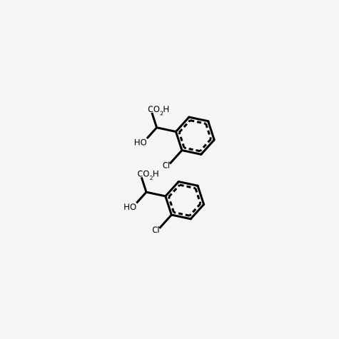 O=C(O)C(O)c1ccccc1Cl.O=C(O)C(O)c1ccccc1Cl